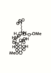 COCCOCCOCC(C)(COCN[C@H]1CCOC(OC2CC(O)(C(=O)CO)Cc3c(O)c4c(c(O)c32)C(=O)c2c(OC)cccc2C4=O)C1)NCCCCCCN1C(=O)C=CC1=O